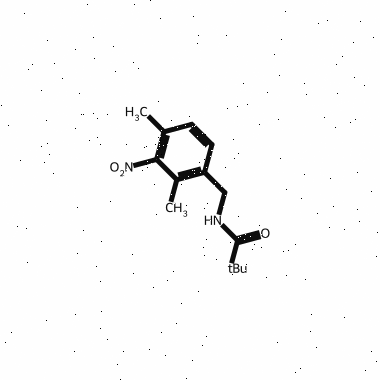 Cc1ccc(CNC(=O)C(C)(C)C)c(C)c1[N+](=O)[O-]